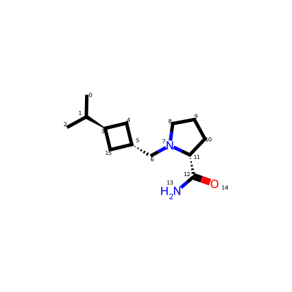 CC(C)[C@H]1C[C@H](CN2CCC[C@@H]2C(N)=O)C1